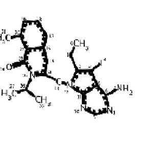 CCc1c(I)c2c(N)ncnc2n1Cc1cc2cccc(C)c2c(=O)n1C(C)C